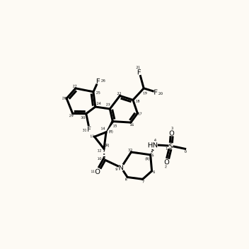 CS(=O)(=O)N[C@@H]1CCCN(C(=O)[C@@H]2C[C@H]2c2ccc(C(F)F)cc2-c2c(F)cccc2F)C1